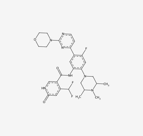 CC1CN(c2cc(F)c(-c3ccnc(N4CCOCC4)n3)cc2NC(=O)c2c[nH]c(=O)cc2C(F)F)CC(C)N1C